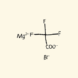 O=C([O-])C(F)(F)F.[Br-].[Mg+2]